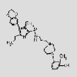 CCCc1nc(C(=O)NCCCN2CCN(c3cccc(C)c3C)CC2)c(C)n1-c1ccc2c(c1)OCCO2